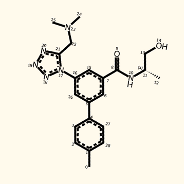 Cc1ccc(-c2cc(C(=O)N[C@@H](C)CO)cc(-n3nnnc3CN(C)C)c2)cc1